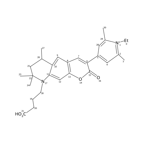 CC[n+]1c(C)cc(-c2cc3cc4c(cc3oc2=O)N(CCCC(=O)O)C(C)(C)CC4C)cc1C